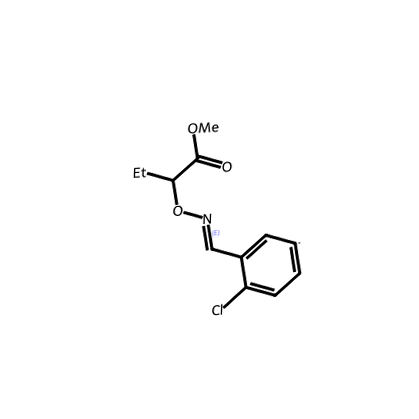 CCC(O/N=C/c1c[c]ccc1Cl)C(=O)OC